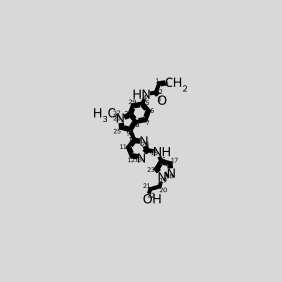 C=CC(=O)Nc1ccc2c(-c3ccnc(Nc4cnn(CCO)c4)n3)cn(C)c2c1